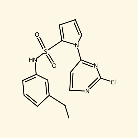 CCc1cccc(NS(=O)(=O)c2cccn2-c2ccnc(Cl)n2)c1